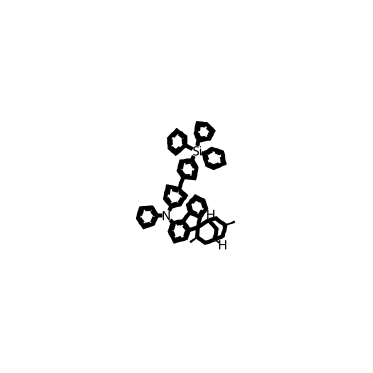 C[C@H]1C[C@@H]2C[C@H](C1)C1(c3ccccc3-c3c(N(c4ccccc4)c4ccc(-c5ccc([Si](c6ccccc6)(c6ccccc6)c6ccccc6)cc5)cc4)cccc31)[C@H](C)C2